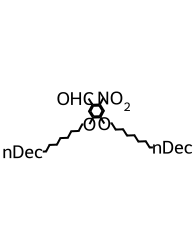 CCCCCCCCCCCCCCCCCCOc1cc(C=O)c([N+](=O)[O-])cc1OCCCCCCCCCCCCCCCCCC